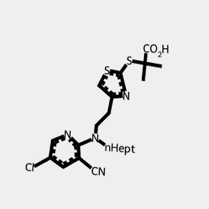 CCCCCCCN(CCc1csc(SC(C)(C)C(=O)O)n1)c1ncc(Cl)cc1C#N